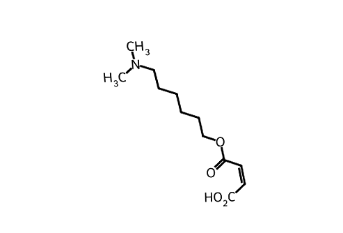 CN(C)CCCCCCOC(=O)/C=C\C(=O)O